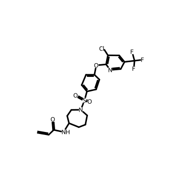 C=CC(=O)NC1CCCN(S(=O)(=O)c2ccc(Oc3ncc(C(F)(F)F)cc3Cl)cc2)CC1